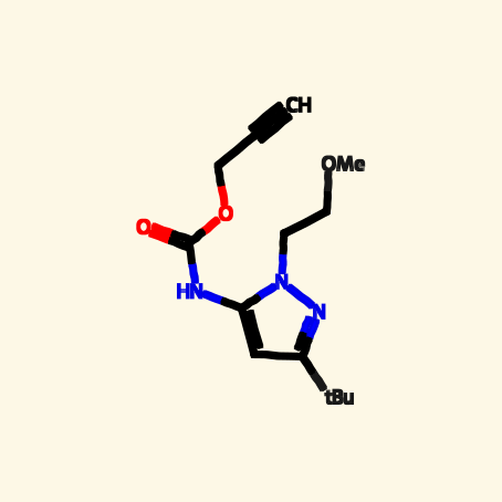 C#CCOC(=O)Nc1cc(C(C)(C)C)nn1CCOC